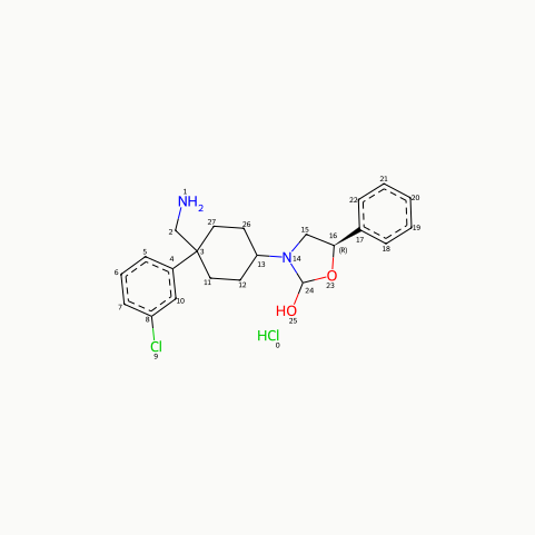 Cl.NCC1(c2cccc(Cl)c2)CCC(N2C[C@@H](c3ccccc3)OC2O)CC1